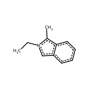 CCn1cc2ccccc2c1C